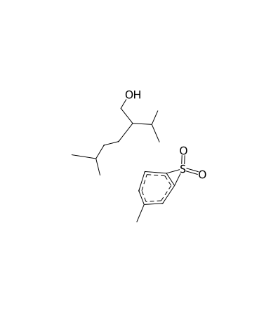 CC(C)CCC(CO)C(C)C.Cc1ccc2c(c1)S2(=O)=O